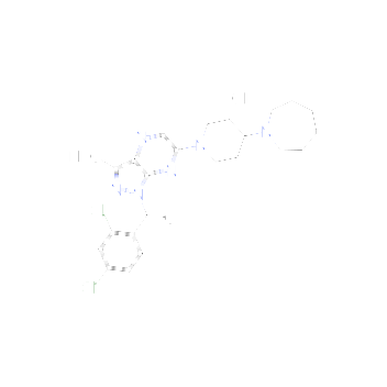 Cc1nn([C@H](C)c2ccc(Cl)cc2Cl)c2nc(N3CCC(N4CCCCCC4)[C@@H](C)C3)cnc12